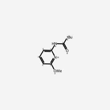 COc1cccc(NC(=O)C(C)(C)C)n1